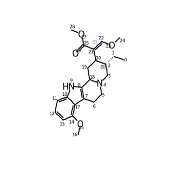 CC[C@@H]1CN2CCc3c([nH]c4cccc(OC)c34)C2CC1/C(=C\OC)C(=O)OC